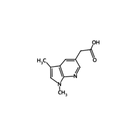 Cc1cn(C)c2ncc(CC(=O)O)cc12